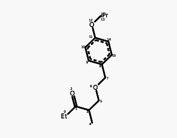 CCC(=O)C(C)COCc1ccc(OC(C)C)cc1